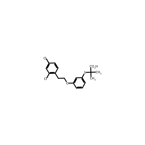 CC(C)(Sc1cccc(OCCc2ccc(Cl)cc2Cl)c1)C(=O)O